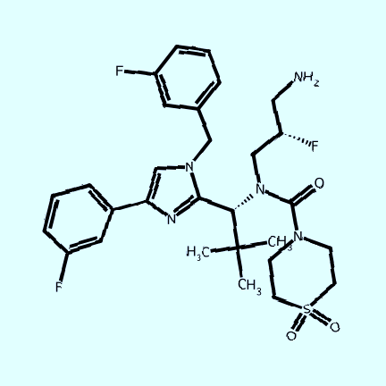 CC(C)(C)[C@H](c1nc(-c2cccc(F)c2)cn1Cc1cccc(F)c1)N(C[C@@H](F)CN)C(=O)N1CCS(=O)(=O)CC1